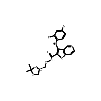 CC1(C)OC[C@H](CONC(=O)c2oc3ccncc3c2Nc2ccc(Br)cc2F)O1